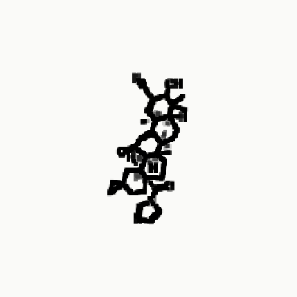 CC1(C)C(O)C(C#N)=C[C@]2(C)C3=CC(=O)[C@@H]4[C@@H]5CC6(CC6)CC[C@]5(C(=O)n5ccnc5)CC[C@@]4(C)[C@]3(C)CC[C@@H]12